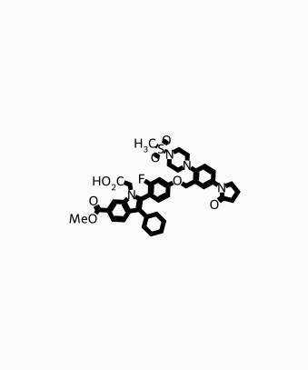 COC(=O)c1ccc2c(C3CCCCC3)c(-c3ccc(OCc4cc(N5CCCC5=O)ccc4N4CCN(S(C)(=O)=O)CC4)cc3F)n(CC(=O)O)c2c1